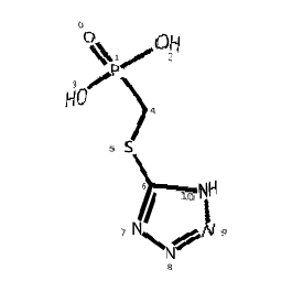 O=P(O)(O)CSc1nnn[nH]1